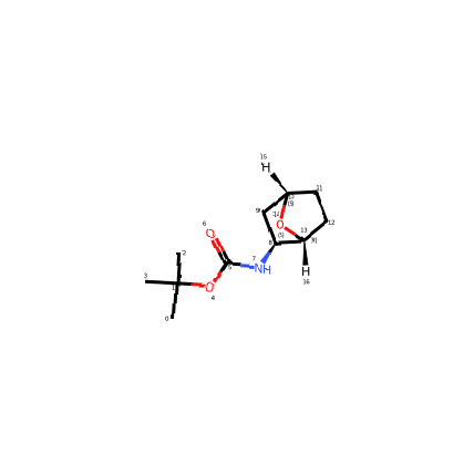 CC(C)(C)OC(=O)N[C@H]1C[C@@H]2CC[C@H]1O2